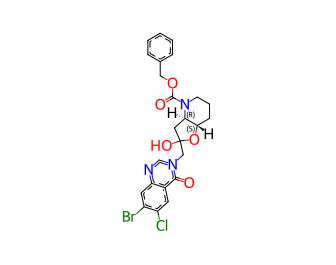 O=C(OCc1ccccc1)N1CCC[C@@H]2OC(O)(Cn3cnc4cc(Br)c(Cl)cc4c3=O)C[C@H]21